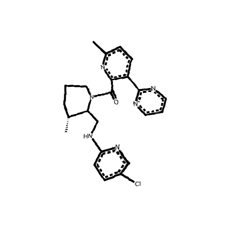 Cc1ccc(-c2ncccn2)c(C(=O)N2CCC[C@@H](C)C2CNc2ccc(Cl)cn2)n1